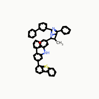 CC1C2C(c3ccccc3)=NC(c3cccc(-c4ccccc4)c3)N2C1c1cccc(Nc2cc(-c3cccc4c3sc3ccccc34)ccc2-c2ccccc2)c1